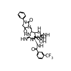 N=C1NC2C(CN3C(=O)CN(c4ccccc4)C3=O)NC(=N)N3C[C@H](NC(=O)c4cccc(C(F)(F)F)c4)C(O)(O)[C@@]23N1